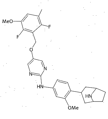 COc1cc(Nc2ncc(OCc3c(F)c(C)cc(OC)c3F)cn2)ccc1C1CC2CCC(C1)N2